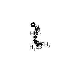 CC(c1cn(C2CC(NC(=O)c3cc(-c4ccccc4)no3)C2)nn1)S(C)(=O)=O